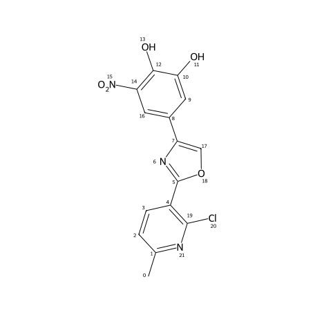 Cc1ccc(-c2nc(-c3cc(O)c(O)c([N+](=O)[O-])c3)co2)c(Cl)n1